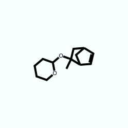 CC1(OC2CCCCO2)CC2C=CC1C2